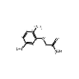 CNC(=O)COc1cc(C=O)ccc1[N+](=O)[O-]